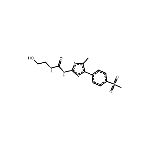 Cc1nc(NC(=O)NCCO)sc1-c1ccc(S(C)(=O)=O)cc1